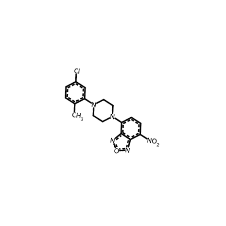 Cc1ccc(Cl)cc1N1CCN(c2ccc([N+](=O)[O-])c3nonc23)CC1